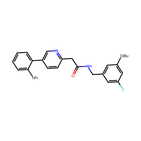 CCCc1ccccc1-c1ccc(CC(=O)NCc2cc(F)cc(OCC(C)C)c2)nc1